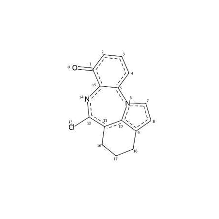 O=c1cccc2n3ccc4c3c(c(Cl)nc1-2)CCC4